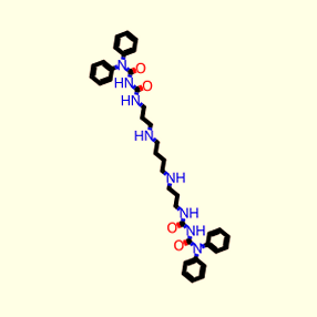 O=C(NCCCNCCCCNCCCNC(=O)NC(=O)N(c1ccccc1)c1ccccc1)NC(=O)N(c1ccccc1)c1ccccc1